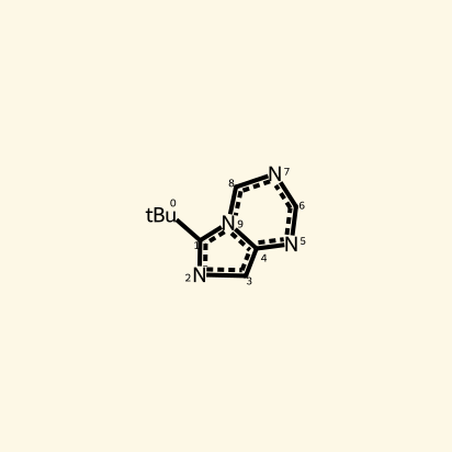 CC(C)(C)c1ncc2ncncn12